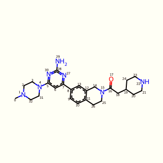 CN1CCN(c2cc(-c3ccc4c(c3)CN(C(=O)CC3CCNCC3)CC4)nc(N)n2)CC1